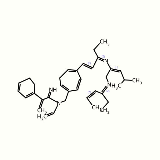 C=CN(CC1=CCC=C(/C=C/C(CC)=N\C(=C\C(C)C)C/N=C(\C=C/C)CC)C=C1)C(=N)C(=C)C1=CC=CCC1